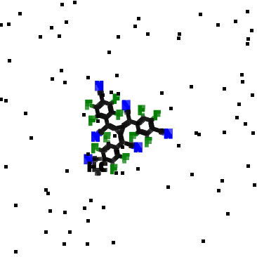 CC1(C#N)C(F)=C(F)C(/C(C#N)=C2\C(=C(C#N)c3c(F)c(F)c(C#N)c(F)c3F)\C2=C(/C#N)c2c(F)c(F)c(C#N)c(F)c2F)=C(F)C1F